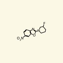 O=[N+]([O-])c1ccc2nc(N3CCCC(F)C3)oc2c1